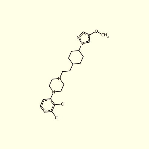 COc1cnn(C2CCC(CCN3CCN(c4cccc(Cl)c4Cl)CC3)CC2)c1